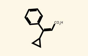 O=C(O)/C=C(\c1ccccc1)C1CC1